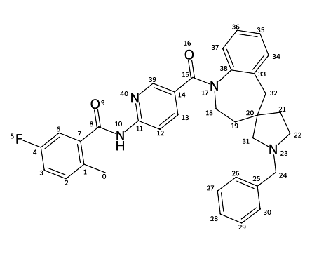 Cc1ccc(F)cc1C(=O)Nc1ccc(C(=O)N2CCC3(CCN(Cc4ccccc4)C3)Cc3ccccc32)cn1